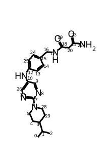 CC(C)C1CCN(c2ncc(Nc3ccc(CNC(=O)CC(N)=O)cc3)cn2)CC1